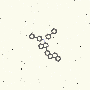 c1ccc(-c2ccc(N(c3ccc(-c4ccccc4)cc3)c3ccc(-c4ccc5ccc6c7ccccc7ccc6c5c4)c4ccccc34)cc2)cc1